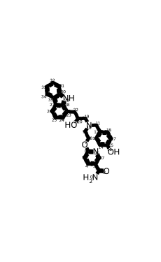 NC(=O)c1ccc(OCCN(Cc2ccc(O)cc2)CC(O)Cc2cccc3c2[nH]c2ccccc23)nc1